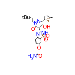 Cc1ccc(-c2nn(CCC(C)(C)C)c(=O)c(C3=Nc4ccc(OCC(N)=O)cc4S(=O)(=O)N3)c2O)s1